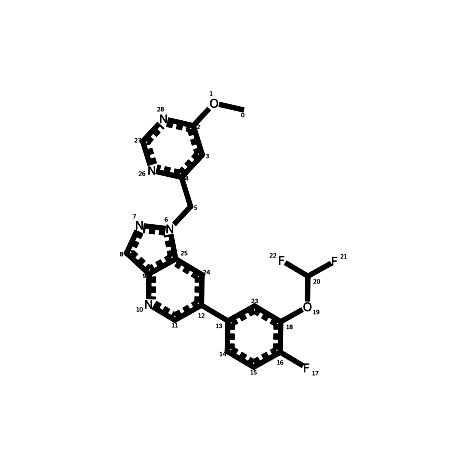 COc1cc(Cn2ncc3ncc(-c4ccc(F)c(OC(F)F)c4)cc32)ncn1